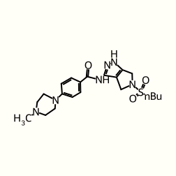 CCCCS(=O)(=O)N1Cc2[nH]nc(NC(=O)c3ccc(N4CCN(C)CC4)cc3)c2C1